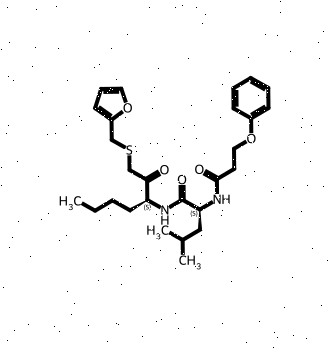 CCCC[C@H](NC(=O)[C@H](CC(C)C)NC(=O)CCOc1ccccc1)C(=O)CSCc1ccco1